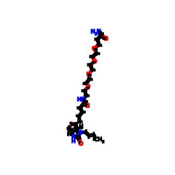 CCCCN1C(=O)N[C@H]2CS[C@@H](CCCCC(=O)NCCOCCOCCOCCOCCC(N)=O)[C@H]21